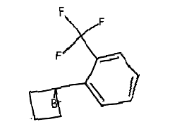 FC(F)(F)c1ccccc1C1(Br)C[CH]C1